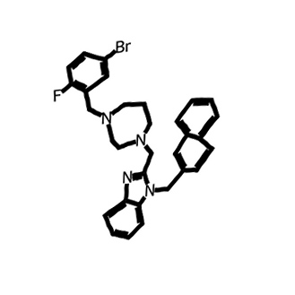 Fc1ccc(Br)cc1CN1CCCN(Cc2nc3ccccc3n2Cc2ccc3ccccc3c2)CC1